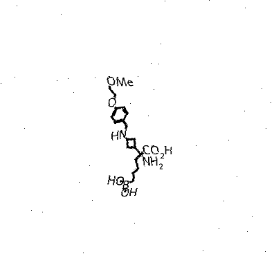 COCCOc1ccc(CNC2CC(C(N)(CCCCB(O)O)C(=O)O)C2)cc1